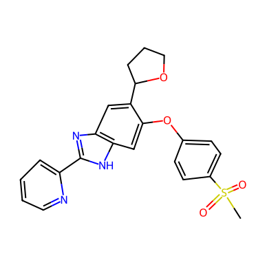 CS(=O)(=O)c1ccc(Oc2cc3[nH]c(-c4ccccn4)nc3cc2C2CCCO2)cc1